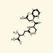 NC(CCC(=O)NC(CS)C(=O)N(CC(=O)O)c1ccccn1)C(=O)O